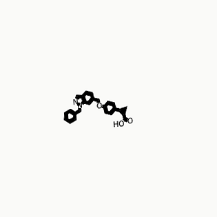 O=C(O)C1CC1c1ccc(OCc2ccc3cnn(Cc4ccccc4)c3c2)cc1